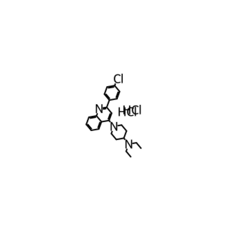 CCN(CC)C1CCN(c2cc(-c3ccc(Cl)cc3)nc3ccccc23)CC1.Cl.Cl